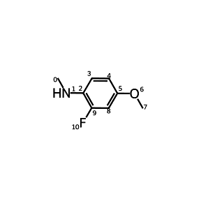 CNc1ccc(OC)cc1F